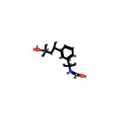 CC(C[Si](C)(C)O)c1cccc(C(C)(C)N=C=O)c1